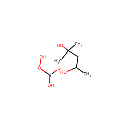 CC(O)CC(C)(C)O.OOB(O)O